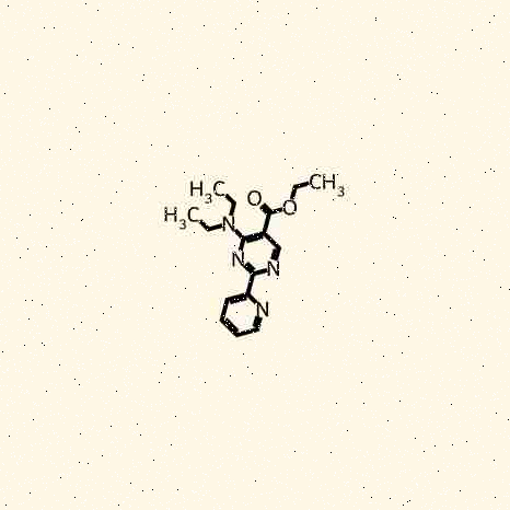 CCOC(=O)c1cnc(-c2ccccn2)nc1N(CC)CC